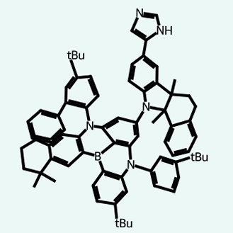 CC1CCC(C)(C)c2cc3c(cc21)N(c1ccc(C(C)(C)C)cc1C1=CC=C=C=C1)c1cc(N2c4ccc(-c5cnc[nH]5)cc4C4(C)CCc5ccccc5C24C)cc2c1B3c1ccc(C(C)(C)C)cc1N2c1cccc(C(C)(C)C)c1